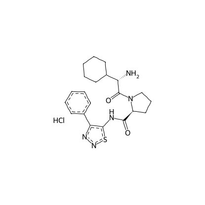 Cl.N[C@H](C(=O)N1CCC[C@H]1C(=O)Nc1snnc1-c1ccccc1)C1CCCCC1